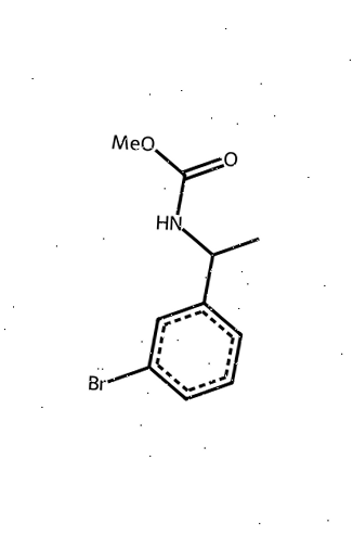 COC(=O)NC(C)c1cccc(Br)c1